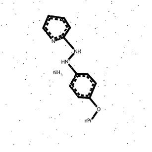 CCCOc1ccc(NNc2ccccn2)cc1.N